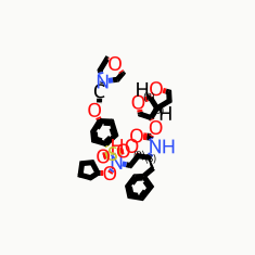 O=C(N[C@@H](Cc1ccccc1)[C@H](O)CN(OC1CCCC1)S(=O)(=O)c1ccc(OCCN2CCOCC2)cc1)OC1CO[C@H]2OCC[C@@H]12